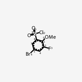 COc1c(F)cc(Br)cc1S(=O)(=O)Cl